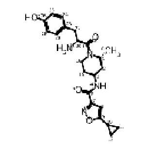 C[C@@H]1CC(NC(=O)c2cc(C3CC3)on2)CCN1C(=O)[C@@H](N)Cc1ccc(O)cc1